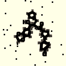 O=C(N[C@H](CN1CCCC1)[C@H](O)c1ccc2c(c1)OCCO2)[C@H]1CCN(c2ccc(Cl)cn2)C1